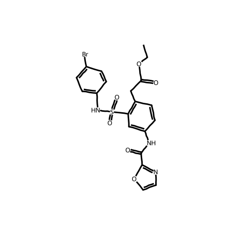 CCOC(=O)Cc1ccc(NC(=O)c2ncco2)cc1S(=O)(=O)Nc1ccc(Br)cc1